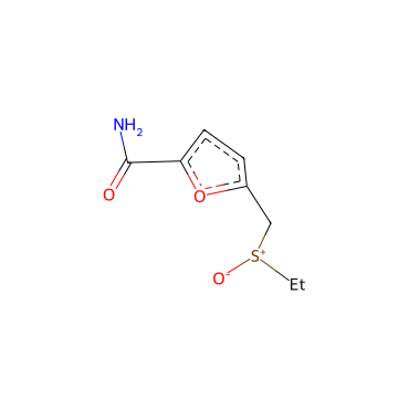 CC[S+]([O-])Cc1ccc(C(N)=O)o1